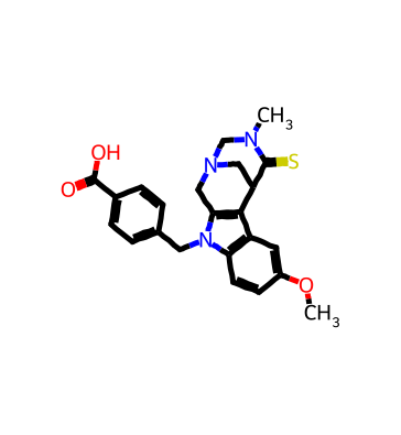 COc1ccc2c(c1)c1c(n2Cc2ccc(C(=O)O)cc2)CN2CC1C(=S)N(C)C2